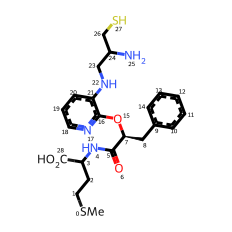 CSCCC(NC(=O)[C@H](Cc1ccccc1)Oc1ncccc1NCC(N)CS)C(=O)O